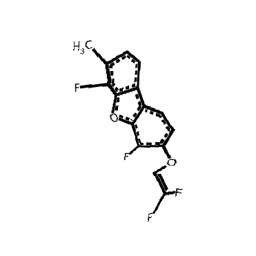 Cc1ccc2c(oc3c(F)c(OC=C(F)F)ccc32)c1F